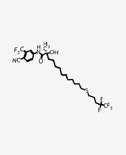 C[C@](O)(CCCCCCCCCCCSCCCC(F)(F)C(F)(F)F)C(=O)Nc1ccc(C#N)c(C(F)(F)F)c1